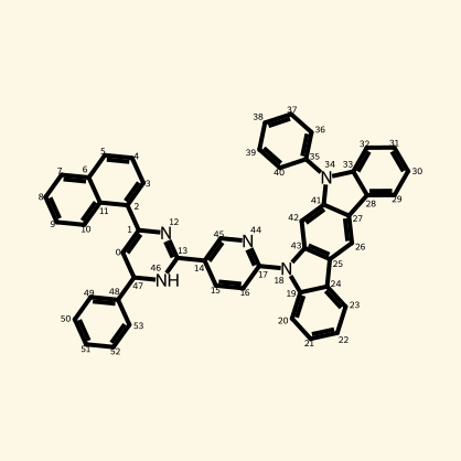 C1=C(c2cccc3ccccc23)N=C(c2ccc(-n3c4ccccc4c4cc5c6ccccc6n(-c6ccccc6)c5cc43)nc2)NC1c1ccccc1